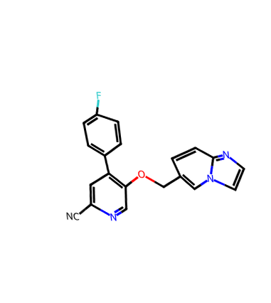 N#Cc1cc(-c2ccc(F)cc2)c(OCc2ccc3nccn3c2)cn1